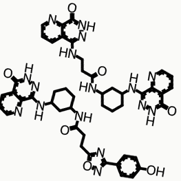 O=C(CCNc1n[nH]c(=O)c2ncccc12)NC1CCCC(Nc2n[nH]c(=O)c3cccnc23)C1.O=C(CCc1nc(-c2ccc(O)cc2)no1)NC1CCCC(Nc2n[nH]c(=O)c3cccnc23)C1